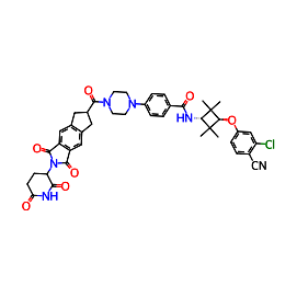 CC1(C)[C@H](NC(=O)c2ccc(N3CCN(C(=O)C4Cc5cc6c(cc5C4)C(=O)N(C4CCC(=O)NC4=O)C6=O)CC3)cc2)C(C)(C)[C@H]1Oc1ccc(C#N)c(Cl)c1